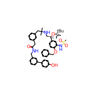 CC(C)(Cc1cccc(CC(=O)NCc2cccc(-c3ccc(O)cc3)c2)c1)NC[C@@H](O[Si](C)(C)C(C)(C)C)c1ccc(OCc2ccccc2)c(NS(C)(=O)=O)c1